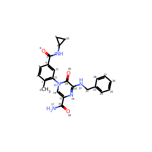 Cc1ccc(C(=O)NC2CC2)cc1-n1cc(C(N)=O)nc(NCc2ccccc2)c1=O